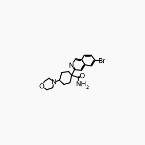 NC(=O)C1(c2cc3cc(Br)ccc3cn2)CCC(N2CCOCC2)CC1